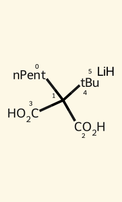 CCCCCC(C(=O)O)(C(=O)O)C(C)(C)C.[LiH]